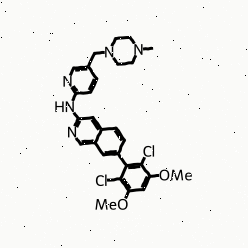 COc1cc(OC)c(Cl)c(-c2ccc3cc(Nc4ccc(CN5CCN(C)CC5)cn4)ncc3c2)c1Cl